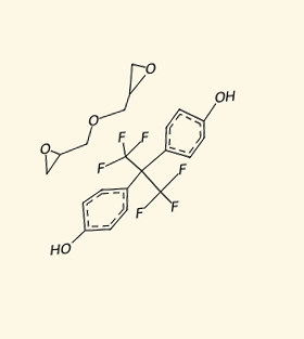 C(OCC1CO1)C1CO1.Oc1ccc(C(c2ccc(O)cc2)(C(F)(F)F)C(F)(F)F)cc1